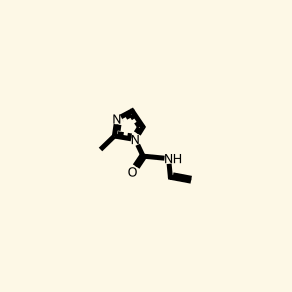 C=CNC(=O)n1ccnc1C